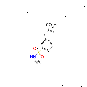 C=C(Cc1cccc(S(=O)(=O)NCCCC)c1)C(=O)O